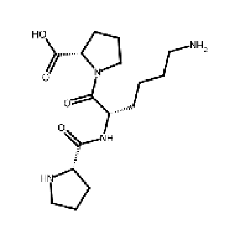 NCCCC[C@H](NC(=O)[C@@H]1CCCN1)C(=O)N1CCC[C@H]1C(=O)O